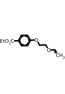 C=COCCOc1ccc(C(=O)OCC)cc1